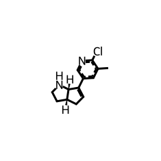 Cc1cc(C2=CC[C@@H]3CCN[C@H]23)cnc1Cl